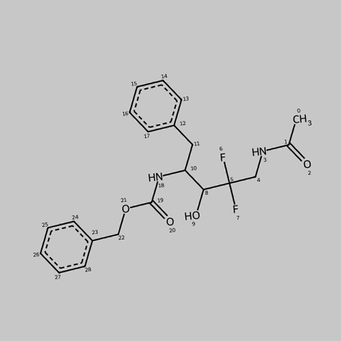 CC(=O)NCC(F)(F)C(O)C(Cc1ccccc1)NC(=O)OCc1ccccc1